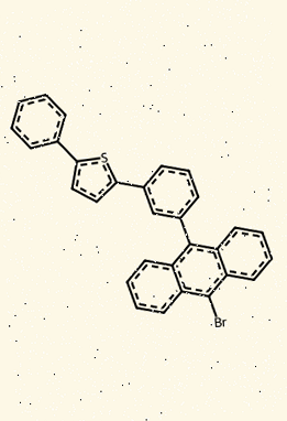 Brc1c2ccccc2c(-c2cccc(-c3ccc(-c4ccccc4)s3)c2)c2ccccc12